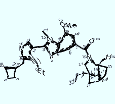 CCn1c(-c2nc3cc(C(=O)N4C[C@H]5CC6C[C@@H]4[C@H]65)cc(OC)c3n2C)cnc1C1CCC1